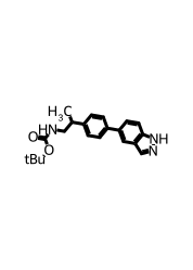 CC(CNC(=O)OC(C)(C)C)c1ccc(-c2ccc3[nH]ncc3c2)cc1